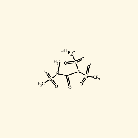 CN(C(=O)N(S(=O)(=O)C(F)(F)F)S(=O)(=O)C(F)(F)F)S(=O)(=O)C(F)(F)F.[LiH]